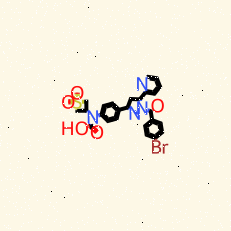 O=C(c1ccc(Br)cc1)N1N=C(c2ccc(N(C(=O)O)C3CS(=O)(=O)C3)cc2)CC1c1ccccn1